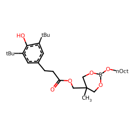 CCCCCCCCOB1OCC(C)(COC(=O)CCc2cc(C(C)(C)C)c(O)c(C(C)(C)C)c2)CO1